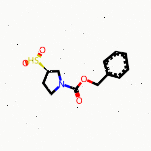 O=C(OCc1ccccc1)N1CC[C@@H]([SH](=O)=O)C1